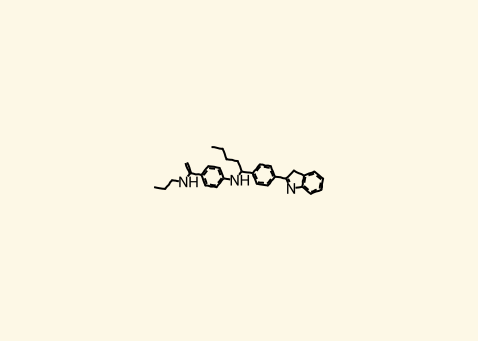 C=C(NCCC)c1ccc(NC(CCCC)c2ccc(C3=Nc4ccccc4C3)cc2)cc1